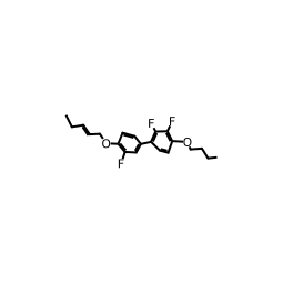 CCC=CCOc1ccc(-c2ccc(OCCCC)c(F)c2F)cc1F